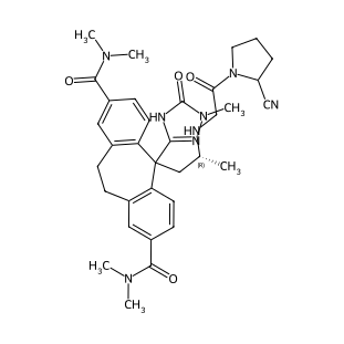 C[C@H](CC1(c2nn(C)c(=O)[nH]2)c2ccc(C(=O)N(C)C)cc2CCc2cc(C(=O)N(C)C)ccc21)NCC(=O)N1CCCC1C#N